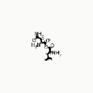 CC(C)C[C@H](N)C(=O)OC(=O)[C@H](N)CC(N)=O